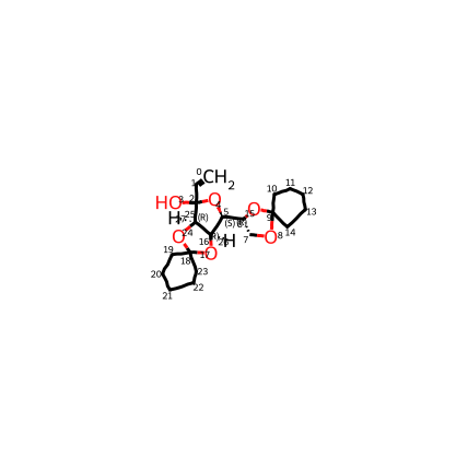 C=CC1(O)O[C@@H]([C@H]2COC3(CCCCC3)O2)[C@H]2OC3(CCCCC3)O[C@H]21